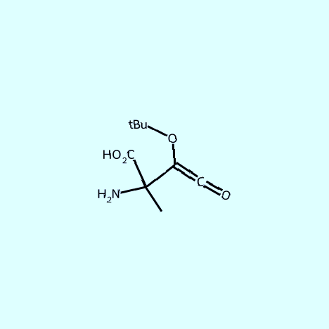 CC(C)(C)OC(=C=O)C(C)(N)C(=O)O